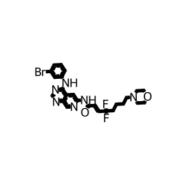 O=C(C=CC(F)(F)CCCCN1CCOCC1)Nc1cc2c(Nc3cccc(Br)c3)ncnc2cn1